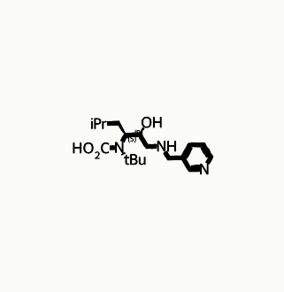 CC(C)C[C@@H]([C@H](O)CNCc1cccnc1)N(C(=O)O)C(C)(C)C